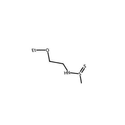 CCOCCNS(C)=S